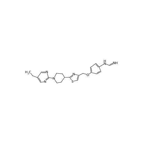 CCc1cnc(N2CCC(c3nc(COc4ccc(NC=N)cc4)cs3)CC2)nc1